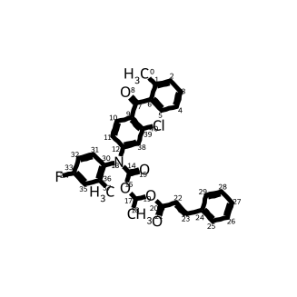 Cc1ccccc1C(=O)c1ccc(N(C(=O)OC(C)OC(=O)/C=C/c2ccccc2)c2ccc(F)cc2C)cc1Cl